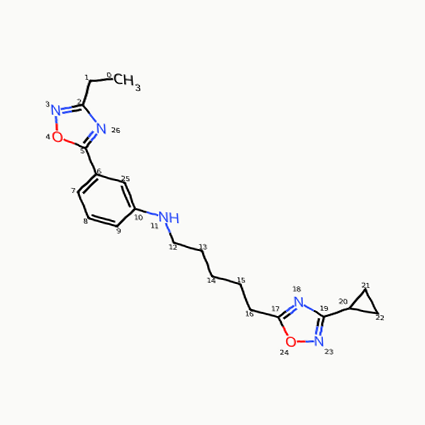 CCc1noc(-c2cccc(NCCCCCc3nc(C4CC4)no3)c2)n1